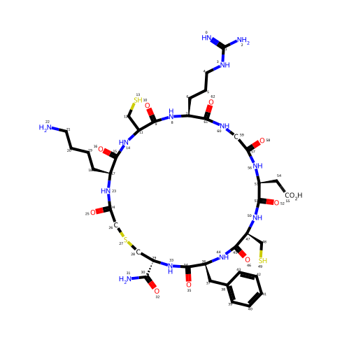 N=C(N)NCCC[C@@H]1NC(=O)C(CS)NC(=O)[C@H](CCCCN)NC(=O)CSC[C@@H](C(N)=O)NC(=O)[C@H](Cc2ccccc2)NC(=O)[C@H](CS)NC(=O)[C@H](CC(=O)O)NC(=O)CNC1=O